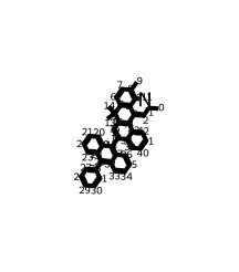 Cc1cc2c3c(ccc(C)c3n1)C(C)(C)c1cc(-c3c4ccccc4c(-c4ccccc4)c4ccccc34)c3ccccc3c1-2